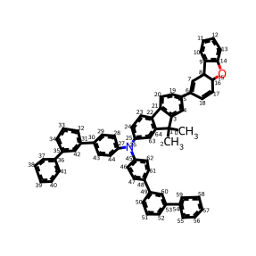 CC1(C)c2cc(C3=CC4c5ccccc5OC4C=C3)ccc2-c2ccc(N(c3ccc(-c4cccc(-c5ccccc5)c4)cc3)c3ccc(-c4cccc(-c5ccccc5)c4)cc3)cc21